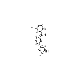 Cc1ccnc(Nc2cccc(C3=CNC(C)S3)n2)c1